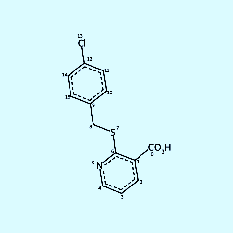 O=C(O)c1cccnc1SCc1ccc(Cl)cc1